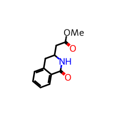 COC(=O)CC1Cc2ccccc2C(=O)N1